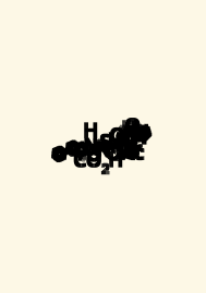 CC[C@H](C)[C@H](NC(=O)[C@H]1CCCCN1C)C(=O)N(Cc1ccccc1)[C@H](C[C@@H](OC(C)=O)c1nc(C(=O)N[C@H]2Cc3ccc(-c4ccccc4)cc3[C@H](C(=O)O)C2)cs1)C(C)C